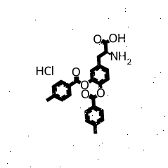 Cc1ccc(C(=O)Oc2ccc(C[C@H](N)C(=O)O)cc2OC(=O)c2ccc(C)cc2)cc1.Cl